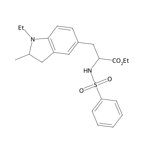 CCOC(=O)C(Cc1ccc2c(c1)CC(C)N2CC)NS(=O)(=O)c1ccccc1